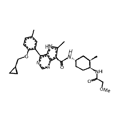 COCC(=O)N[C@H]1CC[C@H](NC(=O)c2c(C)[nH]c3c(-c4cc(C)ccc4OCC4CC4)ncnc23)C[C@H]1C